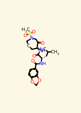 CC(C)C[C@H](NC(=O)c1ccc2c(c1)OCO2)C(=O)NC1CCCN(S(C)(=O)=O)CC1=O